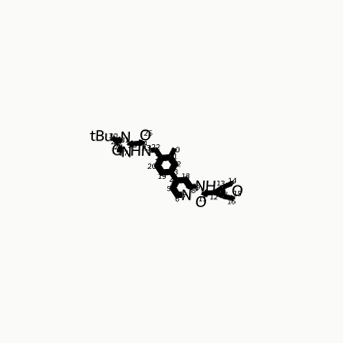 Cc1cc(-c2ccnc(NC(=O)C3C4COCC43)c2)ccc1CNC(=O)c1noc(C(C)(C)C)n1